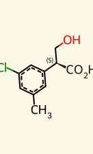 Cc1cc(Cl)cc([C@@H](CO)C(=O)O)c1